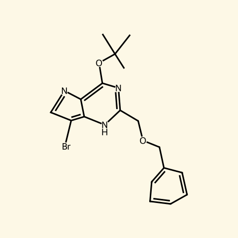 CC(C)(C)Oc1nc(COCc2ccccc2)[nH]c2c(Br)cnc1-2